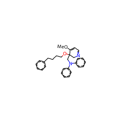 COC1=CC=NCC1(CN(c1ccccc1)c1ccccc1)OCCCCc1ccccc1